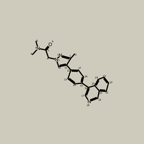 Cc1nn(CC(=O)N(C)C)cc1-c1ccc(-c2cncc3ccccc23)cc1